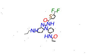 C=CC(=O)Nc1cccc(-n2c(NC(=O)c3ccc(C(F)F)s3)nc3cc(CN[C@@H](C)CC)ccc32)c1